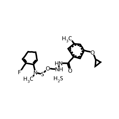 Cc1cc(OC2CC2)cc(C(=O)NNOSN(C)C2=CCCC=C2F)c1.S